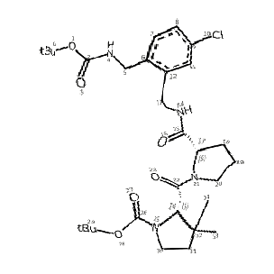 CC(C)(C)OC(=O)NCc1ccc(Cl)cc1CNC(=O)[C@@H]1CCCN1C(=O)[C@H]1N(C(=O)OC(C)(C)C)CCC1(C)C